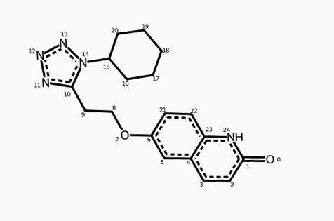 O=c1ccc2cc(OCCc3nnnn3C3CCCCC3)ccc2[nH]1